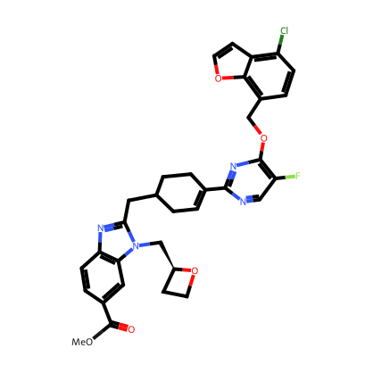 COC(=O)c1ccc2nc(CC3CC=C(c4ncc(F)c(OCc5ccc(Cl)c6ccoc56)n4)CC3)n(C[C@@H]3CCO3)c2c1